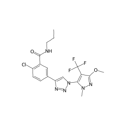 CCCNC(=O)c1cc(-c2cn(-c3c(C(F)(F)F)c(OC)nn3C)nn2)ccc1Cl